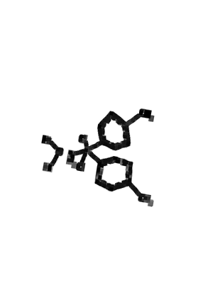 CCOCC.Cc1ccc(P(N)(Cl)(Cl)c2ccc(C)cc2)cc1